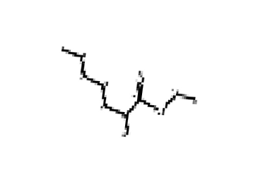 CCCCCC(C)C(=O)OCC